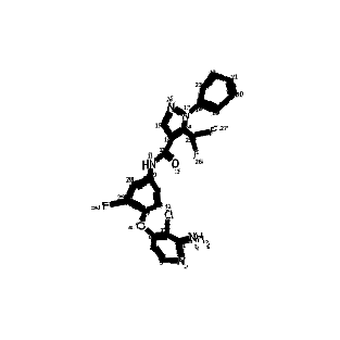 Nc1nccc(Oc2ccc(NC(=O)c3cnn(-c4ccccc4)c3C(F)F)cc2F)c1Cl